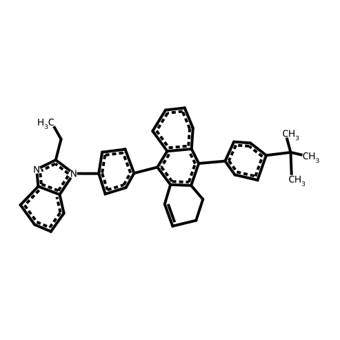 CCc1nc2ccccc2n1-c1ccc(-c2c3c(c(-c4ccc(C(C)(C)C)cc4)c4ccccc24)CCC=C3)cc1